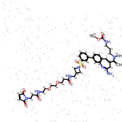 C=C(C1=Cc2ccc(-c3cccc(S(=O)(=O)N4CC(CNC(=O)CCOCCOCCNC(=O)CCN5C(=O)C=CC5=O)C4)c3)cc2N=C(N)C1)N(CCC)CCCNC(=O)OC(C)(C)C